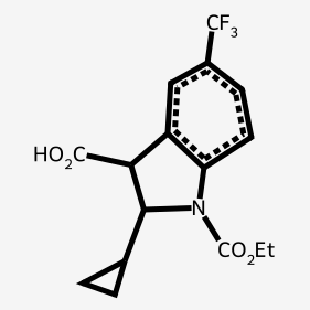 CCOC(=O)N1c2ccc(C(F)(F)F)cc2C(C(=O)O)C1C1CC1